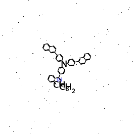 C=C/C=C(/c1ccc(N(c2ccc(-c3ccc4ccccc4c3)cc2)c2ccc(-c3ccc4ccccc4c3)cc2)cc1)c1ccccc1C